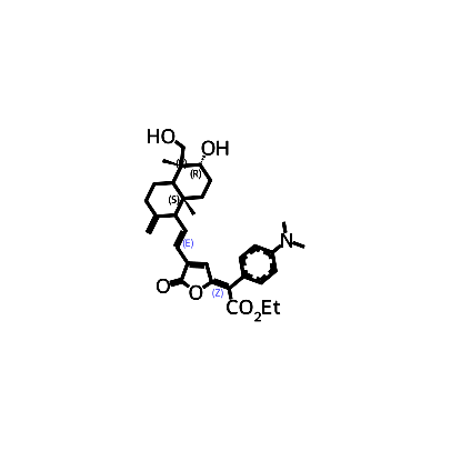 C=C1CCC2[C@](C)(CC[C@@H](O)[C@@]2(C)CO)C1/C=C/C1=CC(=C(/C(=O)OCC)c2ccc(N(C)C)cc2)/OC1=O